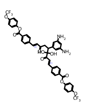 Nc1cc(N)cc(C(CC(=O)/C=C/c2ccc(C(=O)Oc3ccc(OC(F)(F)F)cc3)cc2)C(O)(O)C(=O)/C=C/c2ccc(C(=O)Oc3ccc(OC(F)(F)F)cc3)cc2)c1